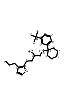 CCCc1ccsc1CCC(O)CNC1(c2cccc(C(C)(C)C)c2)CCCCC1